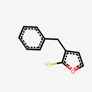 Sc1occc1Cc1ccccc1